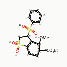 CCOC(=O)c1ccc2c(c1OC)C(S(=O)(=O)c1ccccc1)CS2(=O)=O